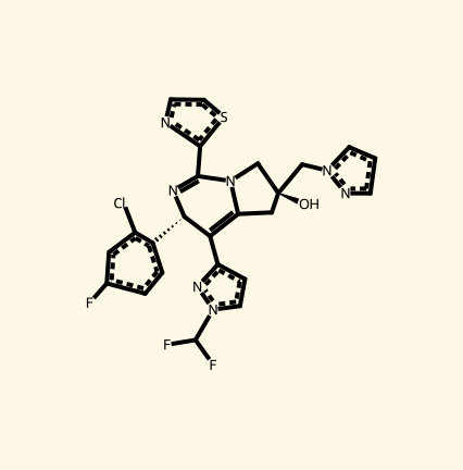 O[C@@]1(Cn2cccn2)CC2=C(c3ccn(C(F)F)n3)[C@H](c3ccc(F)cc3Cl)N=C(c3nccs3)N2C1